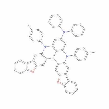 Cc1ccc(N2c3cc4c(cc3B3c5cc6oc7ccccc7c6cc5N(c5ccc(C)cc5)c5cc(N(c6ccccc6)c6ccccc6)cc2c53)oc2ccccc24)cc1